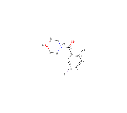 Cc1ccc(I)cc1C(=O)N1CCOCC1